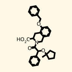 CC1(OC(C(=O)N2Cc3cccc(OCc4ccccc4)c3CC2C(=O)O)c2ccccc2)CCCC1